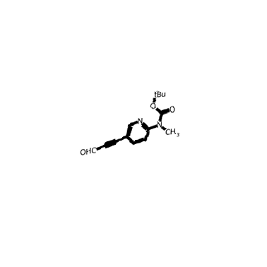 CN(C(=O)OC(C)(C)C)c1ccc(C#CC=O)cn1